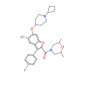 CC1CN(C(=O)c2oc3cc(OC4CCN(C5CCC5)CC4)c(Cl)cc3c2-c2ccc(F)cc2)CC(C)O1